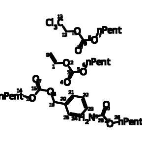 C=COC(=O)OCCCCC.CCCCCOC(=O)OCC(Cl)(Cl)Cl.CCCCCOC(=O)OCc1ccccc1.CCCCCOC(N)=O